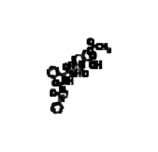 CC(=O)OCC1=C(C(=O)O)N2C(=O)C(NC(=O)C(NC(=O)N3CCN(c4ccccc4)C3=O)c3ccccc3)[C@@H]2SC1